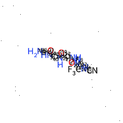 Cc1cc(NC(=O)c2ncc(-c3cn(CC#N)nc3C(F)(F)F)n2C)ccc1C(=O)N[C@H]1CC[C@@H](NC(=O)[C@H]2C[C@H](N)C2)CC1